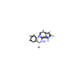 Cc1cc2ccnc(N[C@H](C)c3ccccc3)c2[nH]1